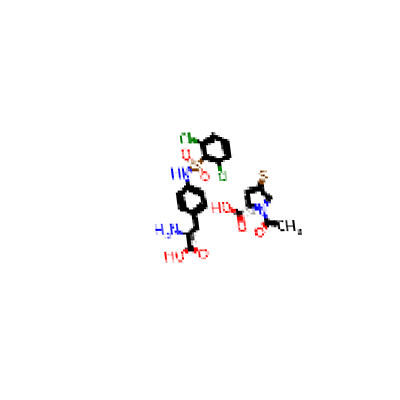 CC(=O)N1CC(=S)C[C@H]1C(=O)O.N[C@@H](Cc1ccc(NS(=O)(=O)c2c(Cl)cccc2Cl)cc1)C(=O)O